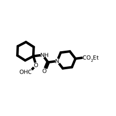 CCOC(=O)C1CCN(C(=O)NC2(OC=O)CCCCC2)CC1